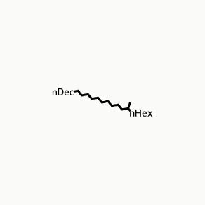 [CH2]CCCCCCCCCCCCCCCCCCCC(C)CCCCC[CH2]